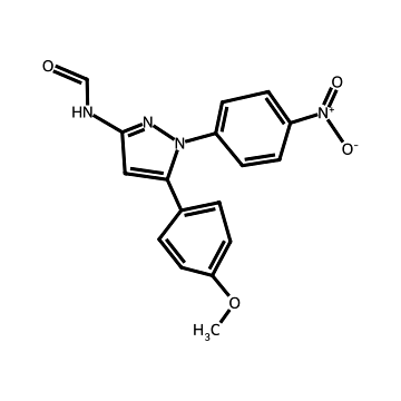 COc1ccc(-c2cc(NC=O)nn2-c2ccc([N+](=O)[O-])cc2)cc1